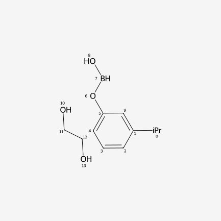 CC(C)c1cccc(OBO)c1.OCCO